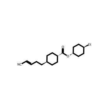 CC[C@H]1CC[C@H](OC(=O)[C@H]2CC[C@H](CCC=CC#N)CC2)CC1